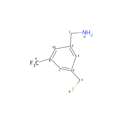 NCc1cc(CF)cc(C(F)(F)F)c1